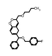 CCCCOCC1C=C2CC(C(OCc3ccc(F)cc3)c3ccccc3)=CC=C2OO1